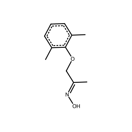 C/C(COc1c(C)cccc1C)=N\O